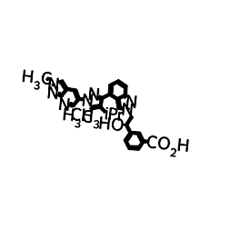 Cc1nc2nn(C)cc2cc1-n1nc(-c2cccc3nn(C[C@H](O)c4cccc(C(=O)O)c4)cc23)c(C(C)C)c1C